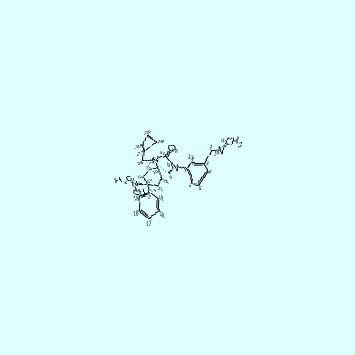 C=NCc1cccc(N2C[C@]3(CC[C@](c4ccccc4)(N(C)C)CC3)N(CC3CCC3)C2=O)c1